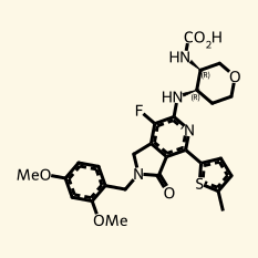 COc1ccc(CN2Cc3c(F)c(N[C@@H]4CCOC[C@@H]4NC(=O)O)nc(-c4ccc(C)s4)c3C2=O)c(OC)c1